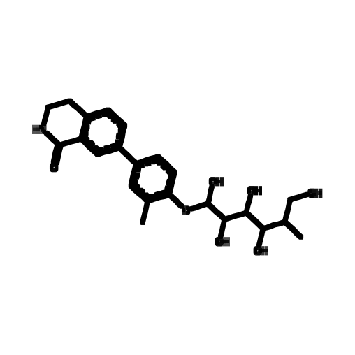 Cc1cc(-c2ccc3c(c2)C(=O)NCC3)ccc1OC(O)C(O)C(O)C(O)C(C)CO